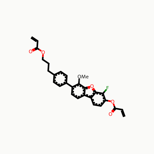 C=CC(=O)OCCCc1ccc(-c2ccc3c(oc4c(F)c(OC(=O)C=C)ccc43)c2OC)cc1